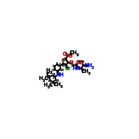 COC(=O)c1sc(-c2cccc(NC3CC(C)(C)CC(C)(C)C3)c2)c(Br)c1OCC(=O)NC(C)C(N)=O